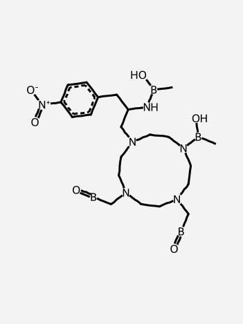 CB(O)NC(Cc1ccc([N+](=O)[O-])cc1)CN1CCN(CB=O)CCN(CB=O)CCN(B(C)O)CC1